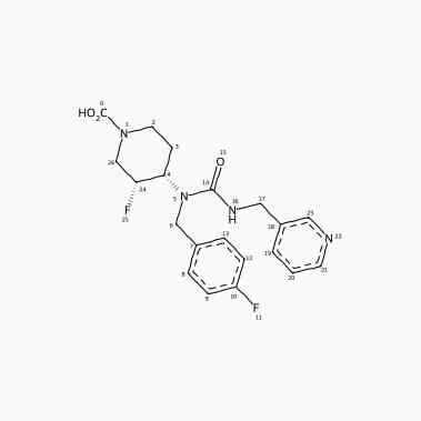 O=C(O)N1CC[C@H](N(Cc2ccc(F)cc2)C(=O)NCc2cccnc2)[C@H](F)C1